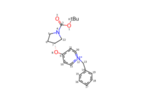 CC(C)(C)OC(=O)N1CC[C@@H](Oc2cc[n+](Cc3ccccc3)cc2)C1